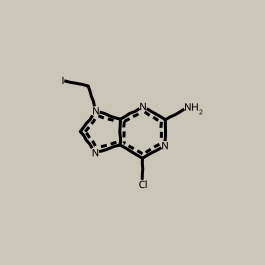 Nc1nc(Cl)c2ncn(CI)c2n1